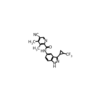 Cc1c(C#N)cnc(C(=O)Nc2ccc3[nH]nc(C4CC4C(F)(F)F)c3c2)c1C